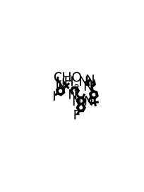 CC1(C)CN(CC=O)c2cc(I)ccc21.Cc1c(-c2ccccn2)nc2cc(F)ccc2c1N1CC(C)(C)c2ccc(-c3ccnc(N)n3)cc21